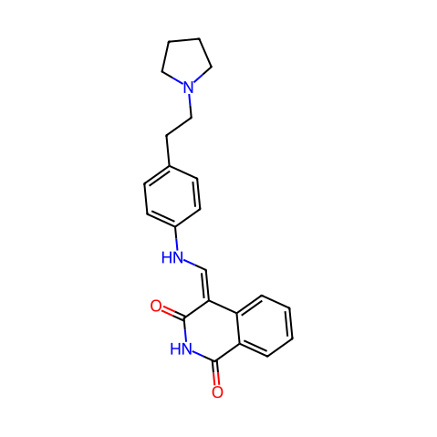 O=C1NC(=O)c2ccccc2C1=CNc1ccc(CCN2CCCC2)cc1